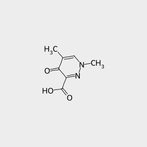 Cc1cn(C)nc(C(=O)O)c1=O